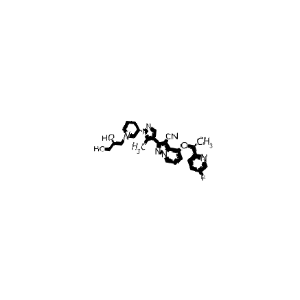 Cc1c(-c2nn3cccc(O[C@H](C)c4ccc(F)cn4)c3c2C#N)cnn1[C@H]1CCCN(C[C@H](O)CO)C1